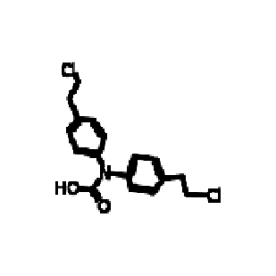 O=C(O)N(c1ccc(CCCl)cc1)c1ccc(CCCl)cc1